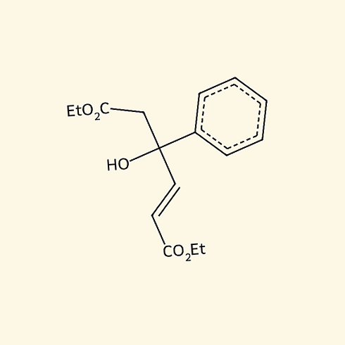 CCOC(=O)/C=C/C(O)(CC(=O)OCC)c1ccccc1